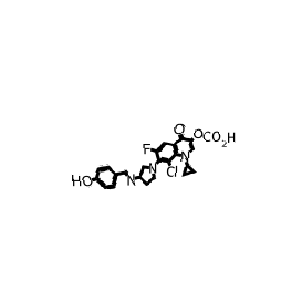 O=C(O)Oc1cn(C2CC2)c2c(Cl)c(N3CCC(N=Cc4ccc(O)cc4)C3)c(F)cc2c1=O